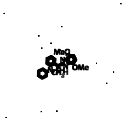 COc1ccc(OC)c2[nH]c(C(S)c3ccccc3N(C)C3CCCCC3)nc12